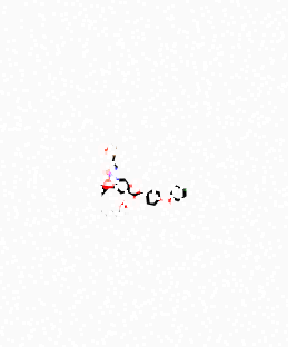 CNC(=O)Oc1c(-c2ccc(Oc3ccc(F)cc3)cc2)oc2cc(N(CCC[S+](C)[O-])S(C)(=O)=O)c(C3CC3)cc12